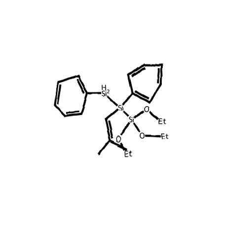 CCO[Si](OCC)(OCC)[Si](C=C(C)C)([SiH2]c1ccccc1)c1ccccc1